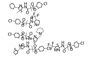 CC(C)(C(=O)Nc1cc(-c2cccs2)no1)S(=O)(=O)c1ccc(Cl)cc1.CC(C)(C(=O)Nc1nc(CN2CCCCC2)cs1)S(=O)(=O)c1ccc(Cl)cc1.CC(C)(C(=O)Nc1ncccc1C(F)(F)F)S(=O)(=O)c1ccc(Cl)cc1.CC(C)(C(=O)Nc1nnc(C(F)(F)F)s1)S(=O)(=O)c1ccc(Cl)cc1.Cc1sc(NC(=O)C(C)(C)S(=O)(=O)c2ccc(Cl)cc2)nc1-c1ccccc1